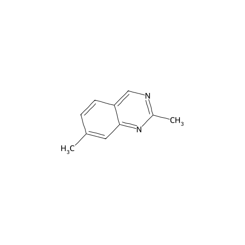 Cc1ccc2cnc(C)nc2c1